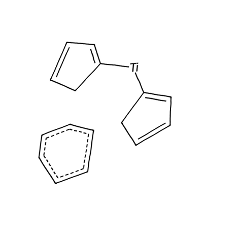 C1=CC[C]([Ti][C]2=CC=CC2)=C1.c1ccccc1